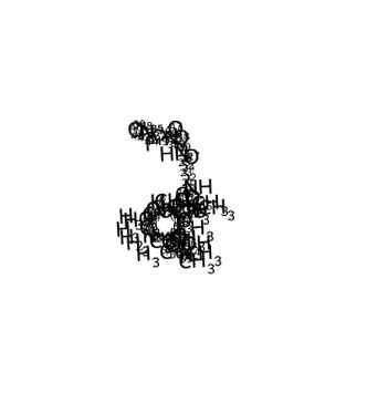 CC[C@H]1OC(=O)[C@H](C)[C@@H](O[C@H]2C[C@@](C)(OC)[C@@H](OC(=O)NCCCCCC(=O)NC[C@H]3CN(c4ccc(N5CCOCC5)c(F)c4)C(=O)O3)[C@H](C)O2)[C@H](C)[C@@H](O[C@@H]2O[C@H](C)C[C@H](N(C)C)[C@H]2O)[C@](C)(O)C[C@@H](C)[C@H](N)[C@H](C)[C@@H](O)[C@]1(C)O